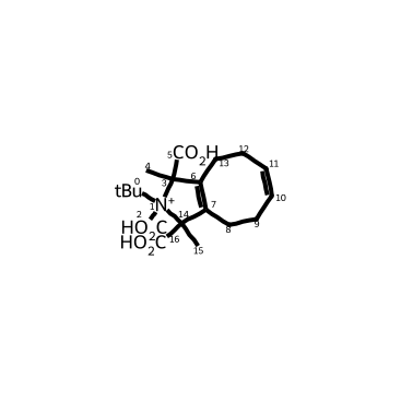 CC(C)(C)[N+]1(C(=O)O)C(C)(C(=O)O)C2=C(CC/C=C\CC2)C1(C)C(=O)O